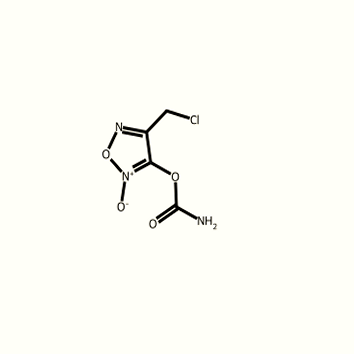 NC(=O)Oc1c(CCl)no[n+]1[O-]